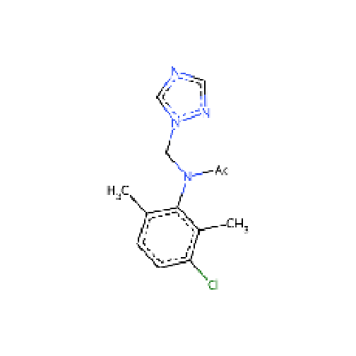 CC(=O)N(Cn1cncn1)c1c(C)ccc(Cl)c1C